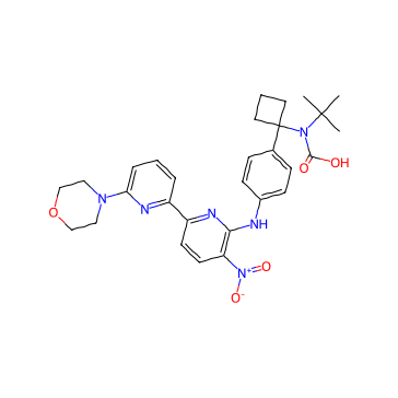 CC(C)(C)N(C(=O)O)C1(c2ccc(Nc3nc(-c4cccc(N5CCOCC5)n4)ccc3[N+](=O)[O-])cc2)CCC1